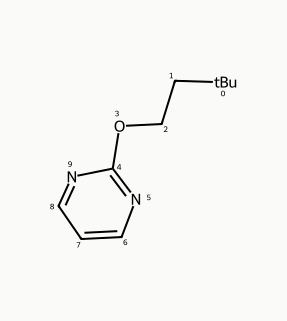 CC(C)(C)CCOc1ncccn1